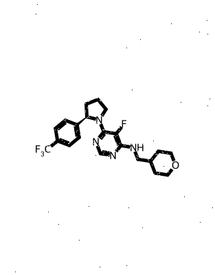 Fc1c(NCC2CCOCC2)ncnc1N1CCC[C@@H]1c1ccc(C(F)(F)F)cc1